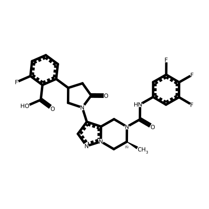 C[C@H]1Cn2ncc(N3CC(c4cccc(F)c4C(=O)O)CC3=O)c2CN1C(=O)Nc1cc(F)c(F)c(F)c1